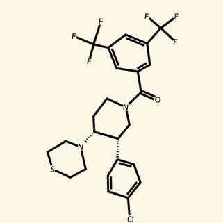 O=C(c1cc(C(F)(F)F)cc(C(F)(F)F)c1)N1CC[C@@H](N2CCSCC2)[C@@H](c2ccc(Cl)cc2)C1